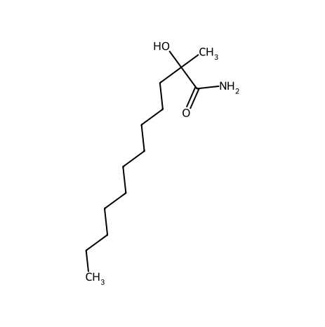 CCCCCCCCCCC(C)(O)C(N)=O